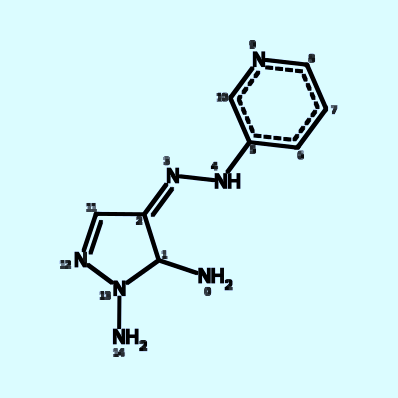 NC1C(=NNc2cccnc2)C=NN1N